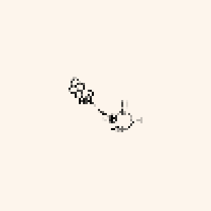 O=C(NCCCCCOc1cc2nc(c1)CNCCNCCCNC2)c1ccc2ccc3cccc4ccc1c2c34